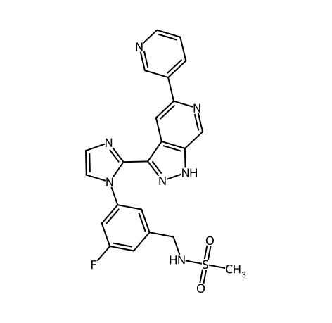 CS(=O)(=O)NCc1cc(F)cc(-n2ccnc2-c2n[nH]c3cnc(-c4cccnc4)cc23)c1